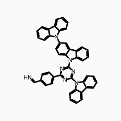 N=Cc1ccc(-c2nc(-n3c4ccccc4c4ccccc43)nc(-n3c4ccccc4c4cc(-n5c6ccccc6c6ccccc65)ccc43)n2)cc1